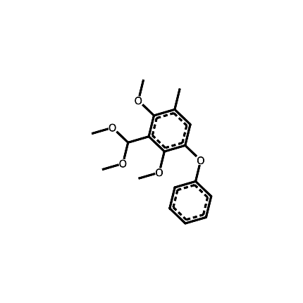 COc1c(C)cc(Oc2ccccc2)c(OC)c1C(OC)OC